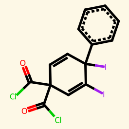 O=C(Cl)C1(C(=O)Cl)C=CC(I)(c2ccccc2)C(I)=C1